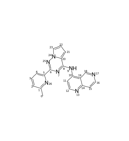 Cc1cccc(-c2nc(Nc3ccnc4ccncc34)c3cccn3n2)n1